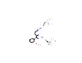 COc1ccccc1-c1cn(COCC[Si](C)(C)C)c2nc(NC(=O)NCCN(C)C)ccc12